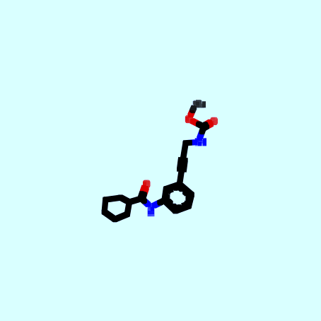 CC(C)(C)OC(=O)NCC#Cc1cccc(NC(=O)C2CCCCC2)c1